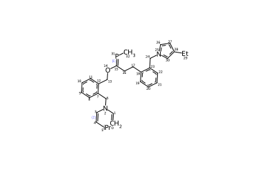 C=CN(/C=C\C(C)C)Cc1ccccc1CO/C(CCc1ccccc1Cn1ccc(CC)c1)=P/C